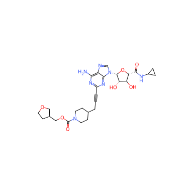 Nc1nc(C#CCC2CCN(C(=O)OCC3CCOC3)CC2)nc2c1ncn2[C@@H]1O[C@H](C(=O)NC2CC2)C(O)[C@@H]1O